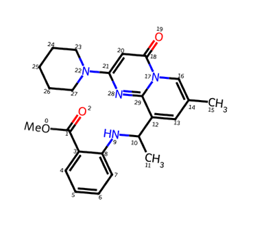 COC(=O)c1ccccc1NC(C)c1cc(C)cn2c(=O)cc(N3CCCCC3)nc12